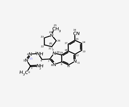 CC(=N)/N=N\NCc1nc2cnc3ccc(C#N)cc3c2n1[C@@H]1CCN(C)C1